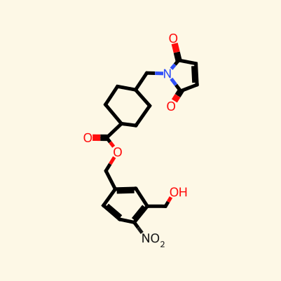 O=C(OCc1ccc([N+](=O)[O-])c(CO)c1)C1CCC(CN2C(=O)C=CC2=O)CC1